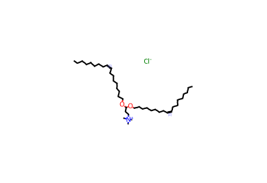 CCCCCCCC/C=C\CCCCCCCCOC(CC[N+](C)(C)C)OCCCCCCCC/C=C\CCCCCCCC.[Cl-]